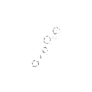 Cc1ccnc(Nc2cccc(-c3cnc(/C=C/c4ccccc4)o3)n2)c1